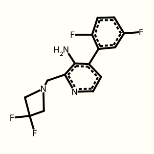 Nc1c(-c2cc(F)ccc2F)ccnc1CN1CC(F)(F)C1